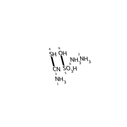 N.N.N.N#CS.O=S(=O)(O)O